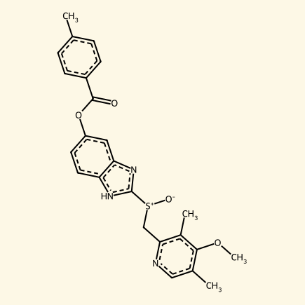 COc1c(C)cnc(C[S+]([O-])c2nc3cc(OC(=O)c4ccc(C)cc4)ccc3[nH]2)c1C